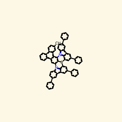 Cc1ccc2c3ccccc3c3cc4c5c(c3c2c1)-n1c2ccc(-c3ccccc3)cc2c2cc(-c3ccccc3)cc(c21)B5c1cc(-c2ccccc2)cc2c3cc(-c5ccccc5)ccc3n-4c12